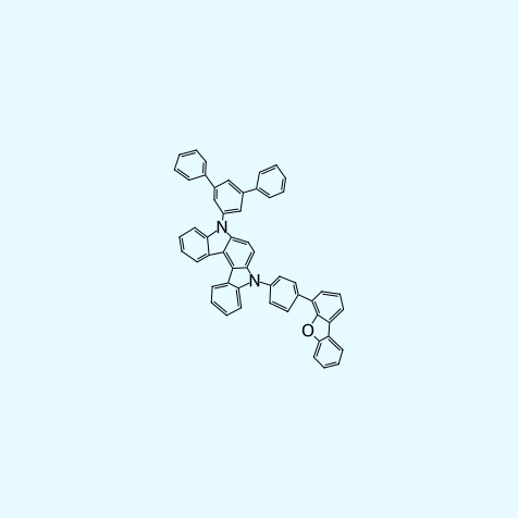 c1ccc(-c2cc(-c3ccccc3)cc(-n3c4ccccc4c4c5c6ccccc6n(-c6ccc(-c7cccc8c7oc7ccccc78)cc6)c5ccc43)c2)cc1